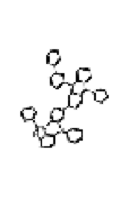 c1ccc(-c2cccc(-c3c4ccccc4c(-c4ccccc4)c4ccc(-c5ccc6c(c5)N(c5ccccc5)c5cccc7nc(-c8ccccc8)n-6c57)cc34)c2)cc1